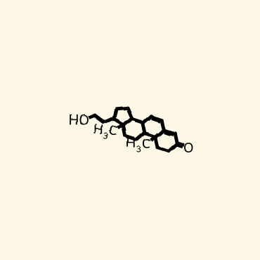 CC12CCC(=O)C=C1C=CC1C2CCC2(C)C(CCO)CCC12